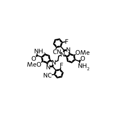 COc1c(C(N)=O)ccc2c1nc(-c1c(F)cccc1C#N)n2CCn1c(-c2c(F)cccc2C#N)nc2c(OC)c(C(N)=O)ccc21